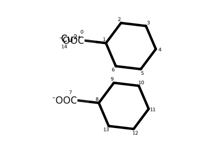 O=C([O-])C1CCCCC1.O=C([O-])C1CCCCC1.[Cu+2]